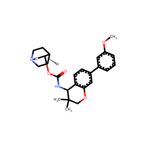 COc1cccc(-c2ccc3c(c2)OCC(C)(C)C3NC(=O)O[C@H]2CN3CCC2CC3)c1